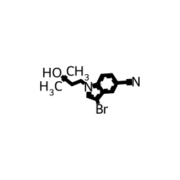 CC(C)(O)CCn1cc(Br)c2cc(C#N)ccc21